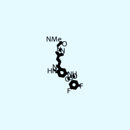 CNC(=O)Cn1cc(/C=C/c2n[nH]c3ccc(NS(=O)(=O)c4cc(F)cc(F)c4)cc23)cn1